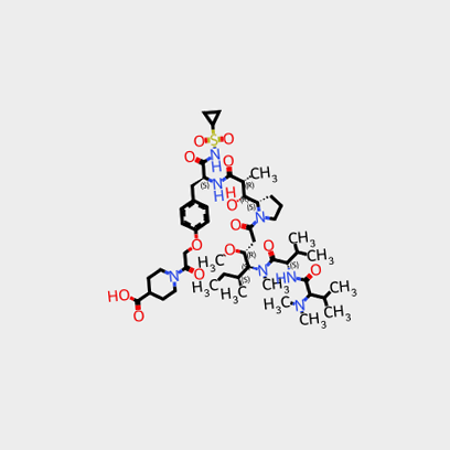 CC[C@H](C)[C@@H]([C@@H](CC(=O)N1CCC[C@H]1[C@H](O)[C@@H](C)C(=O)N[C@@H](Cc1ccc(OCC(=O)N2CCC(C(=O)O)CC2)cc1)C(=O)NS(=O)(=O)C1CC1)OC)N(C)C(=O)[C@@H](NC(=O)C(C(C)C)N(C)C)C(C)C